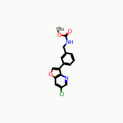 CC(C)(C)OC(=O)NCc1cccc(-c2coc3cc(Cl)cnc23)c1